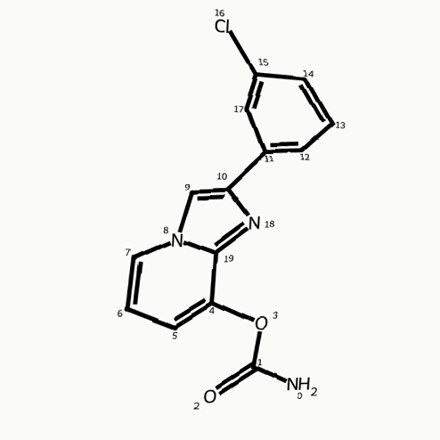 NC(=O)Oc1cccn2cc(-c3cccc(Cl)c3)nc12